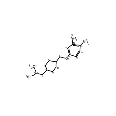 CN(C)CC1CCC(COc2ccc([N+](=O)[O-])c(N)c2)CC1